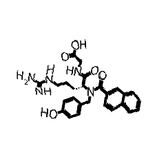 N=C(N)NCCC[C@H](C(=O)NCC(=O)O)N(Cc1ccc(O)cc1)C(=O)c1ccc2ccccc2c1